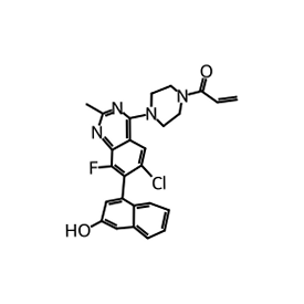 C=CC(=O)N1CCN(c2nc(C)nc3c(F)c(-c4cc(O)cc5ccccc45)c(Cl)cc23)CC1